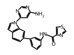 Nc1cc(-n2ccc3ccc(-c4cccc(NC(=O)c5cscn5)c4)cc32)ncn1